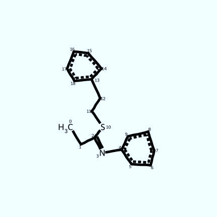 CCC(=Nc1ccccc1)SCCc1ccccc1